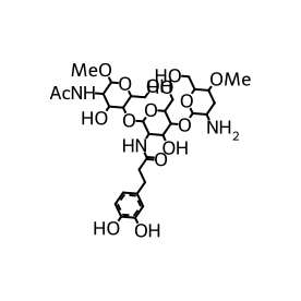 COC1CC(N)C(OC2C(CO)OC(OC3C(CO)OC(OC)C(NC(C)=O)C3O)C(NC(=O)CCc3ccc(O)c(O)c3)C2O)OC1CO